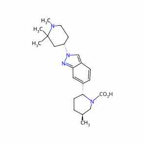 C[C@H]1CC[C@H](c2ccc3cn([C@H]4CCN(C)C(C)(C)C4)nc3c2)N(C(=O)O)C1